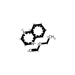 CCOC=O.c1ccc2nccnc2c1